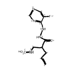 C=CCC(CNC(=O)O)C(=O)NNc1ncncc1F